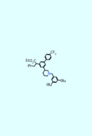 CCOC(=O)C(CC(C)C)c1cc(-c2ccc(C(F)(F)F)cc2)cc(C2CCCN(Cc3cc(C(C)(C)C)cc(C(C)(C)C)c3)C2)c1